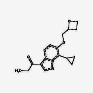 CCC(=O)c1cnn2c(C3CC3)c(OCC3CCO3)ccc12